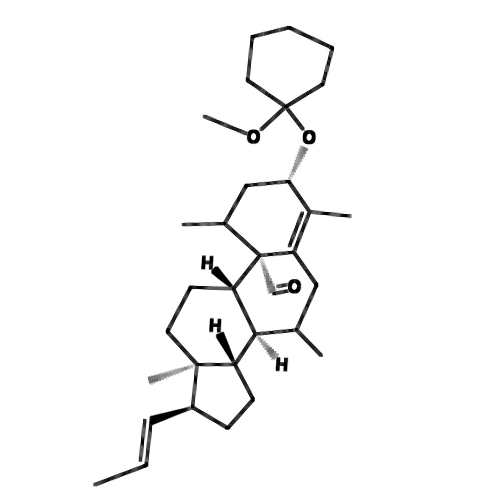 CC=C[C@@H]1CC[C@H]2[C@@H]3C(C)CC4=C(C)[C@@H](OC5(OC)CCCCC5)CC(C)[C@]4(C=O)[C@H]3CC[C@]12C